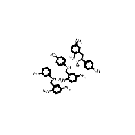 CCON(Cc1cc(N)ccc1N)c1ccc(O)cc1.Nc1ccc(N)c(CNc2ccc(O)cc2)c1.Nc1ccc(N)c(CNc2cccc(O)c2)c1